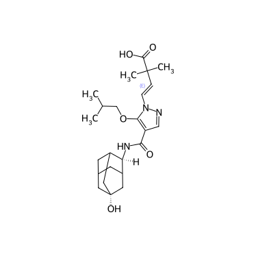 CC(C)COc1c(C(=O)N[C@H]2C3CC4CC2C[C@](O)(C4)C3)cnn1/C=C/C(C)(C)C(=O)O